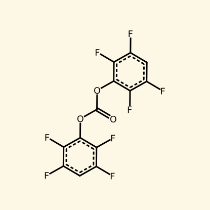 O=C(Oc1c(F)c(F)cc(F)c1F)Oc1c(F)c(F)cc(F)c1F